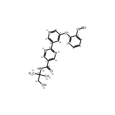 CCOc1cccnc1Oc1cncc(-c2ncc(C(=O)NC(C)(C)CO)cn2)c1